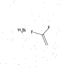 C=C(F)F.[BiH3]